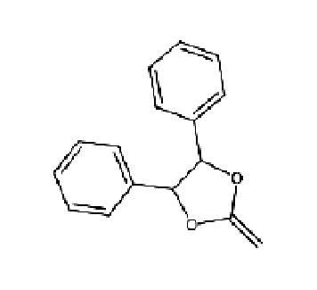 C=C1OC(c2ccccc2)C(c2ccccc2)O1